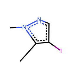 Cc1c(I)cnn1C